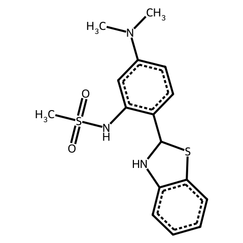 CN(C)c1ccc(C2Nc3ccccc3S2)c(NS(C)(=O)=O)c1